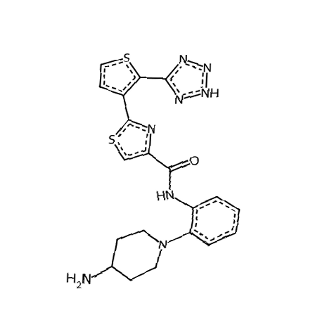 NC1CCN(c2ccccc2NC(=O)c2csc(-c3ccsc3-c3nn[nH]n3)n2)CC1